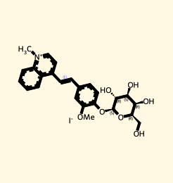 COc1cc(/C=C/c2cc[n+](C)c3ccccc23)ccc1O[C@@H]1O[C@H](CO)[C@H](O)[C@H](O)[C@H]1O.[I-]